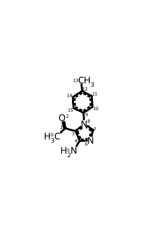 CC(=O)c1c(N)ncn1-c1ccc(C)cc1